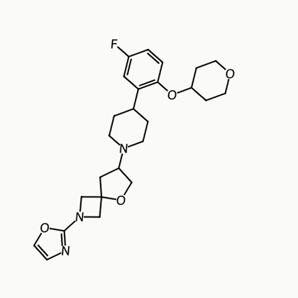 Fc1ccc(OC2CCOCC2)c(C2CCN(C3COC4(C3)CN(c3ncco3)C4)CC2)c1